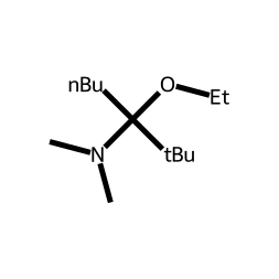 CCCCC(OCC)(N(C)C)C(C)(C)C